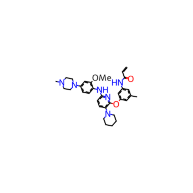 C=CC(=O)Nc1cc(C)cc(Oc2nc(Nc3ccc(N4CCN(C)CC4)cc3OC)ccc2N2CCCCC2)c1